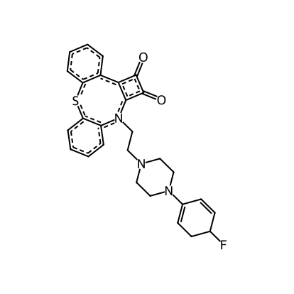 O=c1c(=O)c2c1c1ccccc1sc1ccccc1n2CCN1CCN(C2=CCC(F)C=C2)CC1